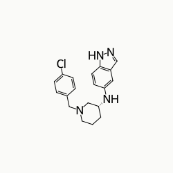 Clc1ccc(CN2CCC[C@@H](Nc3ccc4[nH]ncc4c3)C2)cc1